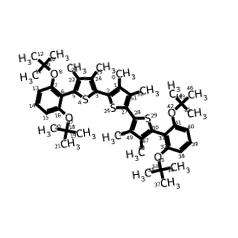 Cc1c(-c2sc(-c3c(OC(C)(C)C)cccc3OC(C)(C)C)c(C)c2C)sc(-c2sc(-c3c(OC(C)(C)C)cccc3OC(C)(C)C)c(C)c2C)c1C